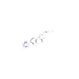 CC(=O)NCC1CN(c2ccc(-n3cnnn3)c(F)c2)C(=O)O1